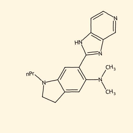 CCCN1CCc2cc(N(C)C)c(-c3nc4cnccc4[nH]3)cc21